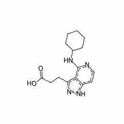 O=C(O)CCc1n[nH]c2ccnc(NC3CCCCC3)c12